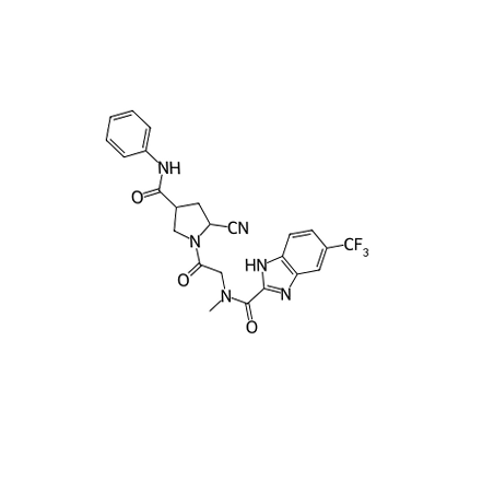 CN(CC(=O)N1CC(C(=O)Nc2ccccc2)CC1C#N)C(=O)c1nc2cc(C(F)(F)F)ccc2[nH]1